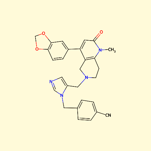 Cn1c2c(c(-c3ccc4c(c3)OCO4)cc1=O)CN(Cc1cncn1Cc1ccc(C#N)cc1)CC2